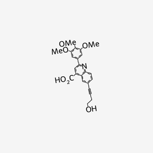 COc1cc(-c2cc(C(=O)O)c3cc(C#CCCO)ccc3n2)cc(OC)c1OC